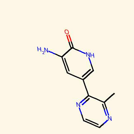 Cc1nccnc1-c1c[nH]c(=O)c(N)c1